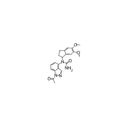 COc1cc2c(cc1OC)C(N(C(N)=O)c1cccc3c1cnn3C(C)=O)CC2